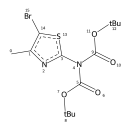 Cc1nc(N(C(=O)OC(C)(C)C)C(=O)OC(C)(C)C)sc1Br